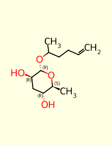 C=CCCC(C)O[C@@H]1O[C@@H](C)[C@H](O)C[C@H]1O